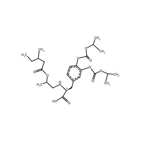 CCC(C)CC(=O)OC(C)CN[C@@H](Cc1ccc(OC(=O)OC(C)C)c(OC(=O)OC(C)C)c1)C(=O)O